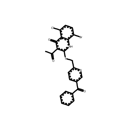 CC(=O)c1c(SCc2ccc(C(=O)c3ccccc3)cn2)[nH]c2c(Br)ccc(Cl)c2c1=O